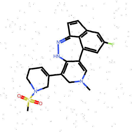 CN1C=C2C(=C(C3=CCCN(S(C)(=O)=O)C3)C1)NN=C1C=Cc3cc(F)cc2c31